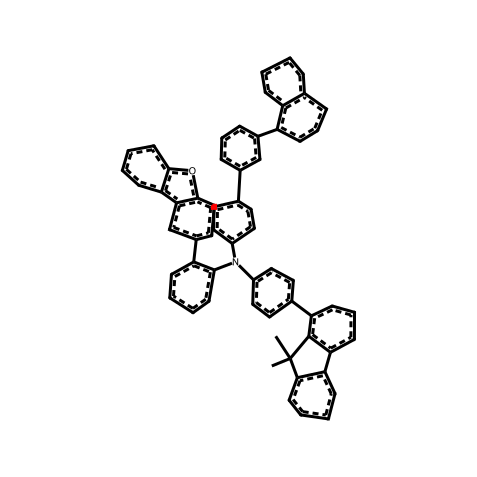 CC1(C)c2ccccc2-c2cccc(-c3ccc(N(c4ccc(-c5cccc(-c6cccc7ccccc67)c5)cc4)c4ccccc4-c4ccc5oc6ccccc6c5c4)cc3)c21